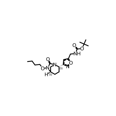 CCCCON1C(=O)N2C[C@@H]1CC[C@H]2c1cc(CNC(=O)OC(C)(C)C)on1